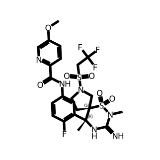 COc1ccc(C(=O)Nc2ccc(F)c([C@@]3(C)NC(=N)N(C)S(=O)(=O)[C@]34CCN(S(=O)(=O)CC(F)(F)F)C4)c2)nc1